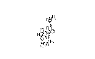 CC(NC(=O)c1c(N)nn2cccnc12)c1oc2cccc(C#Cc3cnn(C)c3)c2c(=O)c1-c1ccccc1